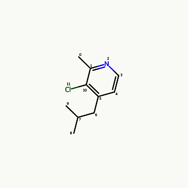 Cc1nccc(CC(C)C)c1Cl